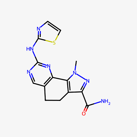 Cn1nc(C(N)=O)c2c1-c1nc(Nc3nccs3)ncc1CC2